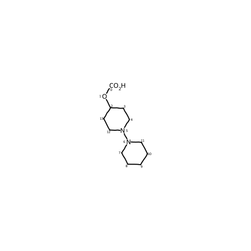 O=C(O)OC1CCN(N2CCCCC2)CC1